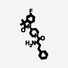 CC1(C)C(=O)N(C2CCN(C(=O)C(N)CCc3ccccc3)CC2)c2ccc(F)cc21